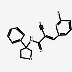 N#C/C(=C\c1cccc(Br)n1)C(=O)NC1(c2ccccc2)CCOC1